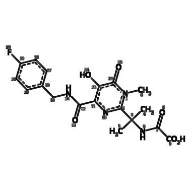 Cn1c(C(C)(C)NC(=O)C(=O)O)nc(C(=O)NCc2ccc(F)cc2)c(O)c1=O